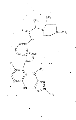 COc1nn(C)cc1Nc1ncc(F)c(-c2c[nH]c3c(NC(=O)C(C)N4CCN(C)C[C@H]4C)cccc23)n1